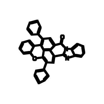 O=c1c2cc(-c3ccccc3)c3c4ccccc4oc4c(-c5ccccc5)cc(c2c43)c2nc3ccccc3n12